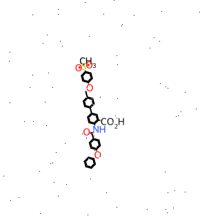 CS(=O)(=O)c1ccc(OCc2ccc(-c3ccc(NC(=O)c4ccc(Oc5ccccc5)cc4)c(C(=O)O)c3)cc2)cc1